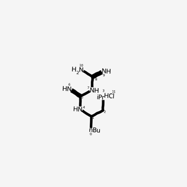 CCCCC(CC(C)C)NC(=N)NC(=N)N.Cl